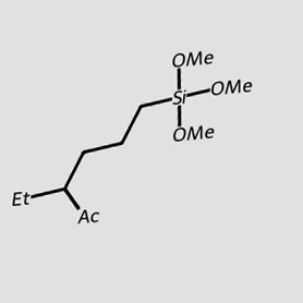 CCC(CCC[Si](OC)(OC)OC)C(C)=O